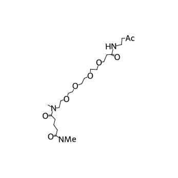 CNC(=O)CCCC(=O)N(C)CCOCCOCCOCCOCCC(=O)NCCC(C)=O